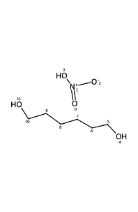 O=[N+]([O-])O.OCCCCCCO